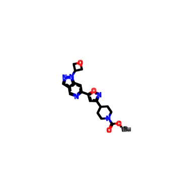 CC(C)(C)OC(=O)N1CCC(c2cc(-c3cc4c(cn3)cnn4C3COC3)on2)CC1